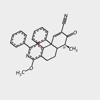 COc1nc(-c2ccccc2)nc2c1CCC1[C@H](C)C(=O)C(C#N)=CC21c1ccccc1